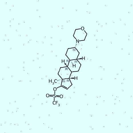 C[C@]12CC[C@H]3C(CC[C@H]4C[C@@H](N5CCOCC5)CC[C@@H]43)[C@@H]1CC=C2OS(=O)(=O)C(F)(F)F